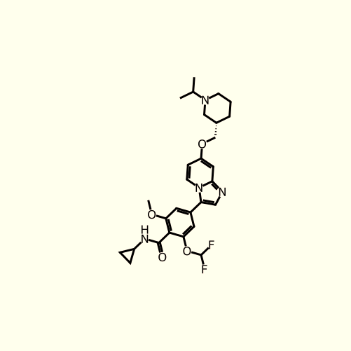 COc1cc(-c2cnc3cc(OC[C@H]4CCCN(C(C)C)C4)ccn23)cc(OC(F)F)c1C(=O)NC1CC1